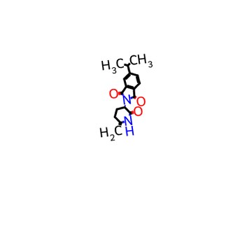 C=C1CC[C@H](N2C(=O)c3ccc(C(C)C)cc3C2=O)C(=O)N1